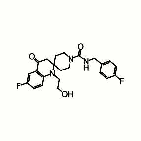 O=C1CC2(CCN(C(=O)NCc3ccc(F)cc3)CC2)N(CCO)c2ccc(F)cc21